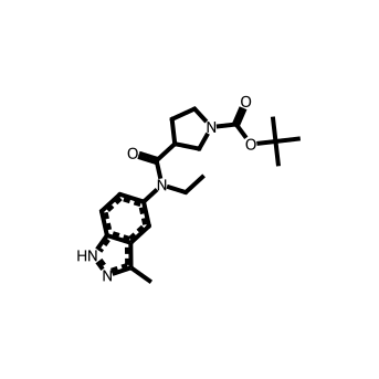 CCN(C(=O)C1CCN(C(=O)OC(C)(C)C)C1)c1ccc2[nH]nc(C)c2c1